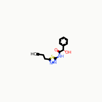 C#CCCc1nnc(NC(=O)[C@@H](O)c2ccccc2)s1